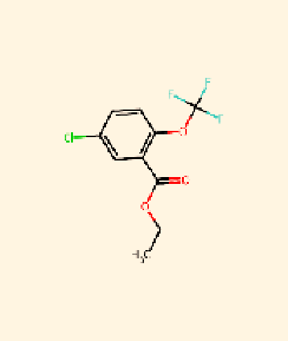 CCOC(=O)c1cc(Cl)ccc1OC(F)(F)F